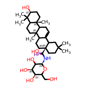 CC1(C)CC[C@@]2(C(=P)N[C@H]3OC(CO)[C@@H](O)[C@@H](O)C3O)C(C1)C1=CCC3[C@@](C)(CCC4C(C)(C)[C@@H](O)CC[C@@]43C)C1C[C@H]2O